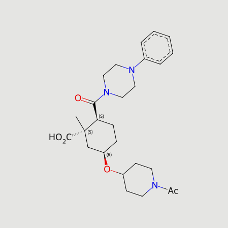 CC(=O)N1CCC(O[C@@H]2CC[C@H](C(=O)N3CCN(c4ccccc4)CC3)[C@@](C)(C(=O)O)C2)CC1